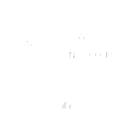 CC(=O)SCC(C)C(=O)N1Cc2ccc(C(C)C)cc2CC1C(=O)O